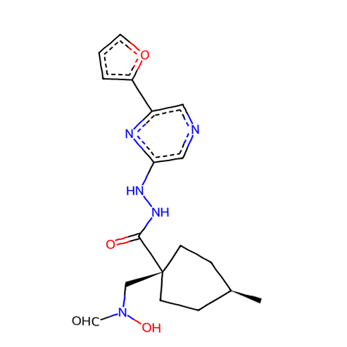 C[C@H]1CC[C@](CN(O)C=O)(C(=O)NNc2cncc(-c3ccco3)n2)CC1